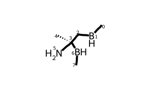 CBC[C@](C)(N)BC